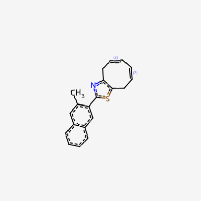 Cc1cc2ccccc2cc1-c1nc2c(s1)C/C=C\C=C/C2